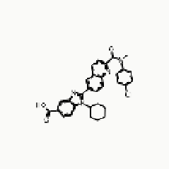 CN(C(=O)c1ccc2cc(-c3nc4cc(C(=O)O)ccc4n3C3CCCCC3)ccc2n1)c1ccc(Cl)cc1